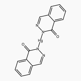 O=c1c2ccccc2cn[n]1[Hg][n]1ncc2ccccc2c1=O